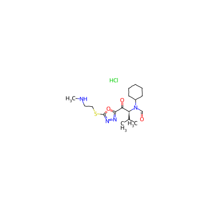 CNCCSc1nnc(C(=O)[C@H](C(C)C)N(C=O)C2CCCCC2)o1.Cl